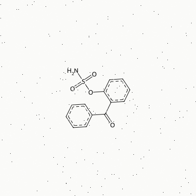 NS(=O)(=O)Oc1ccccc1C(=O)c1ccccc1